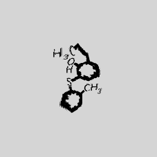 C/C=C\c1cccc(Sc2ccccc2C)c1O